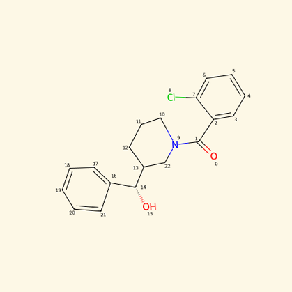 O=C(c1ccccc1Cl)N1CCCC([C@H](O)c2ccccc2)C1